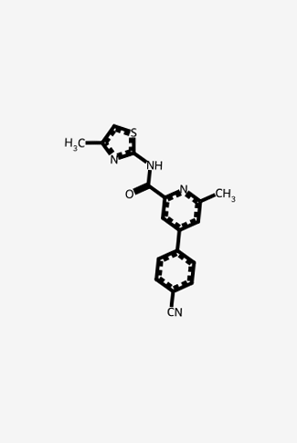 Cc1cc(-c2ccc(C#N)cc2)cc(C(=O)Nc2nc(C)cs2)n1